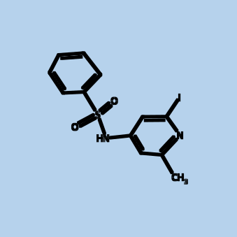 Cc1cc(NS(=O)(=O)c2ccccc2)cc(I)n1